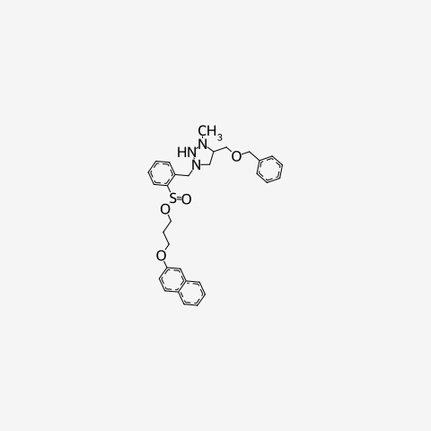 CN1NN(Cc2ccccc2S(=O)OCCCOc2ccc3ccccc3c2)CC1COCc1ccccc1